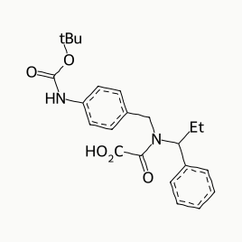 CCC(c1ccccc1)N(Cc1ccc(NC(=O)OC(C)(C)C)cc1)C(=O)C(=O)O